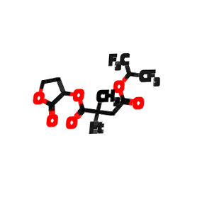 CCC(C)(CC(=O)OC(C(F)(F)F)C(F)(F)F)C(=O)OC1CCOC1=O